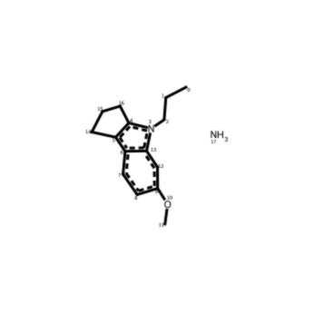 CCCn1c2c(c3ccc(OC)cc31)CCC2.N